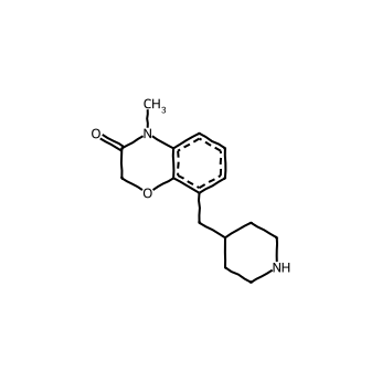 CN1C(=O)COc2c(CC3CCNCC3)cccc21